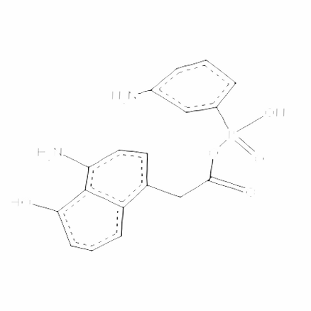 Nc1cccc(P(=O)(O)OC(=O)Cc2ccc(N)c3c(O)cccc23)c1